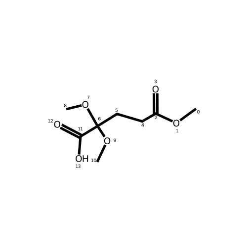 COC(=O)CCC(OC)(OC)C(=O)O